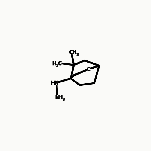 CC1(C)CC2CCC1(NN)CC2